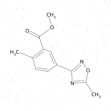 COC(=O)c1cc(-c2noc(C)n2)ccc1C